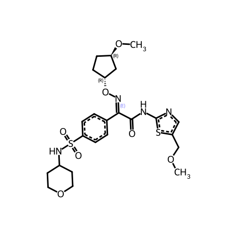 COCc1cnc(NC(=O)/C(=N/O[C@@H]2CC[C@@H](OC)C2)c2ccc(S(=O)(=O)NC3CCOCC3)cc2)s1